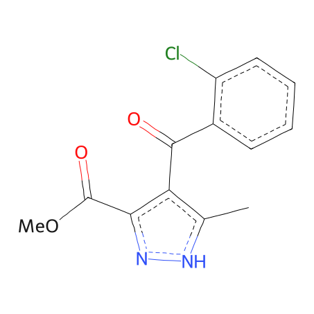 COC(=O)c1n[nH]c(C)c1C(=O)c1ccccc1Cl